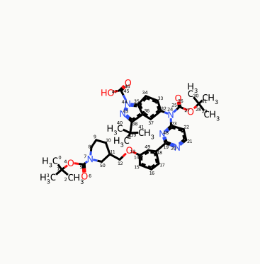 CC(C)(C)OC(=O)N1CCCC(COc2cccc(-c3nccc(N(C(=O)OC(C)(C)C)c4ccc5c(c4)c(C(C)(C)C)nn5C(=O)O)n3)c2)C1